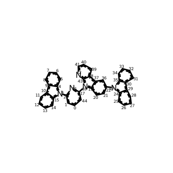 c1cc(-n2c3ccccc3c3ccccc32)nc(-n2c3ccc(-n4c5ccccc5c5ccccc54)cc3c3cccnc32)c1